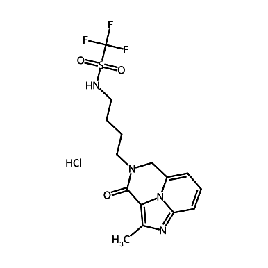 Cc1nc2cccc3n2c1C(=O)N(CCCCNS(=O)(=O)C(F)(F)F)C3.Cl